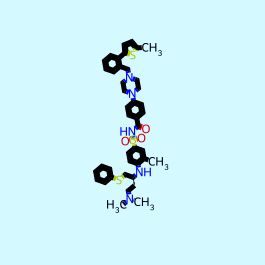 Cc1ccc(-c2ccccc2CN2CCN(c3ccc(C(=O)NS(=O)(=O)c4ccc(N[C@H](CCN(C)C)CSc5ccccc5)c(C)c4)cc3)CC2)s1